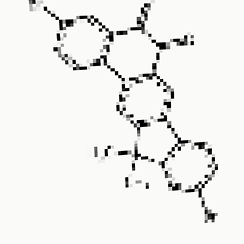 CC1(C)c2cc(Br)ccc2-c2cc3c(cc21)-c1ccc(Br)cc1C(=O)C3=O